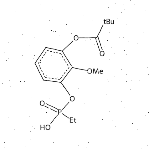 CCP(=O)(O)Oc1cccc(OC(=O)C(C)(C)C)c1OC